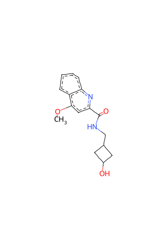 COc1cc(C(=O)NCC2CC(O)C2)nc2ccccc12